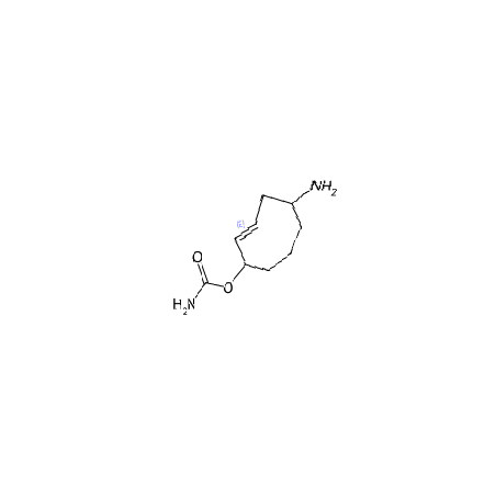 NC(=O)OC1/C=C/CC(N)CCC1